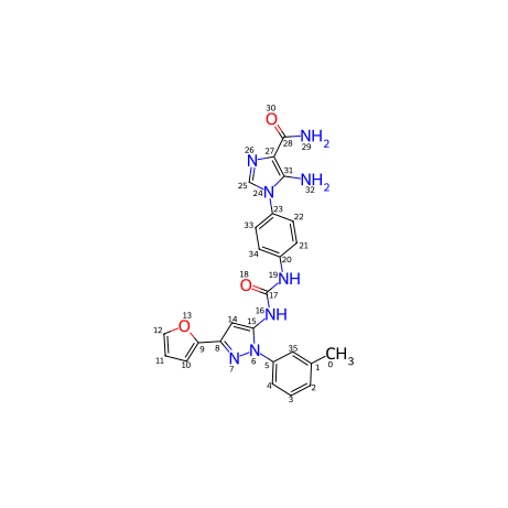 Cc1cccc(-n2nc(-c3ccco3)cc2NC(=O)Nc2ccc(-n3cnc(C(N)=O)c3N)cc2)c1